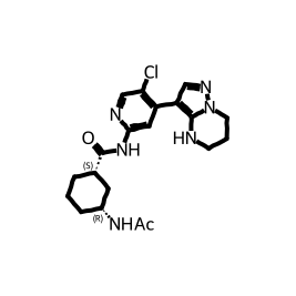 CC(=O)N[C@@H]1CCC[C@H](C(=O)Nc2cc(-c3cnn4c3NCCC4)c(Cl)cn2)C1